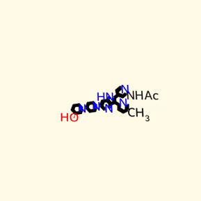 CC(=O)Nc1cc(-c2[nH]c3cc(N4CCC(N5CCC[C@@H](O)C5)CC4)cnc3c2-c2ccc(C)cn2)ccn1